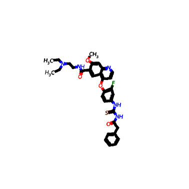 CCN(CC)CCNC(=O)c1cc2c(Oc3ccc(NC(=S)NC(=O)Cc4ccccc4)cc3F)ccnc2cc1OC